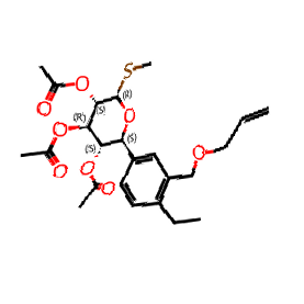 C=CCOCc1cc([C@@H]2O[C@H](SC)[C@@H](OC(C)=O)[C@H](OC(C)=O)[C@H]2OC(C)=O)ccc1CC